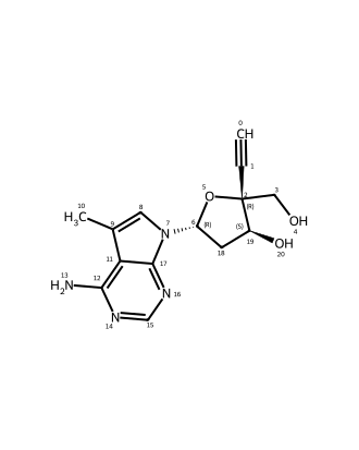 C#C[C@]1(CO)O[C@@H](n2cc(C)c3c(N)ncnc32)C[C@@H]1O